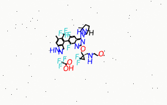 COCCNC[C@@]1(COc2nc(N3C[C@H]4CC[C@@](C)(C3)N4)c3cc(F)c(-c4c(C(F)(F)F)c(C)cc5[nH]ncc45)c(F)c3n2)CC1(F)F.O=C(O)C(F)(F)F